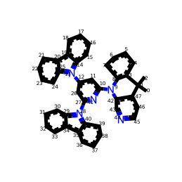 CC1(C)c2ccccc2N(c2cc(-n3c4ccccc4c4ccccc43)cc(-n3c4ccccc4c4ccccc43)n2)c2cnccc21